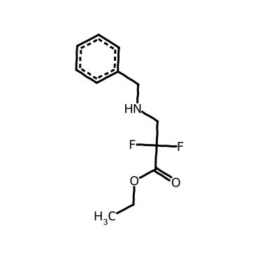 CCOC(=O)C(F)(F)CNCc1ccccc1